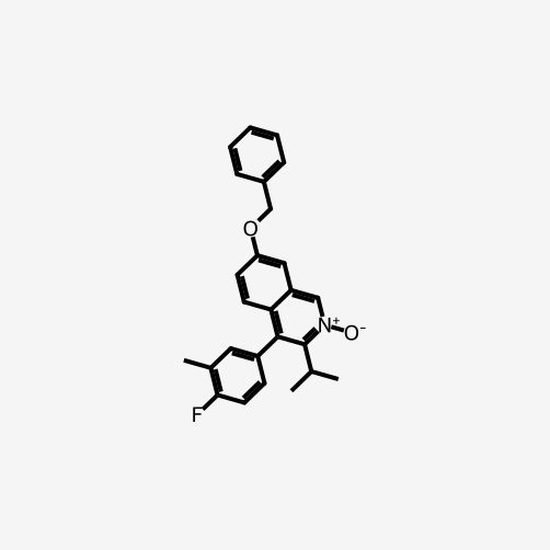 Cc1cc(-c2c(C(C)C)[n+]([O-])cc3cc(OCc4ccccc4)ccc23)ccc1F